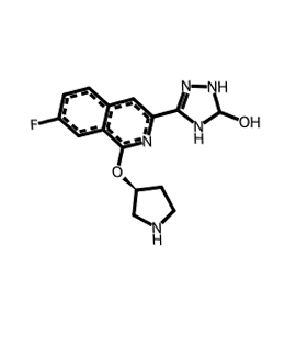 OC1NN=C(c2cc3ccc(F)cc3c(O[C@H]3CCNC3)n2)N1